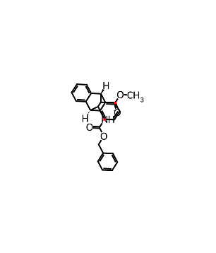 COC(=O)C1C(NC(=O)OCc2ccccc2)[C@H]2c3ccccc3[C@H]1c1ccccc12